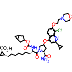 NC(=O)[C@@H]1CC(Oc2cc(C3CC3)nc3c(Cl)c(OCCN4CCOCC4)ccc23)CN1C(=O)[C@H](CCCCCCC[C@@H]1C[C@@H]1C(=O)O)NC(=O)OC1CC2CC2C1